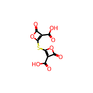 O=C(O)C1=C(SC2=C(C(=O)O)C(=O)O2)OC1=O